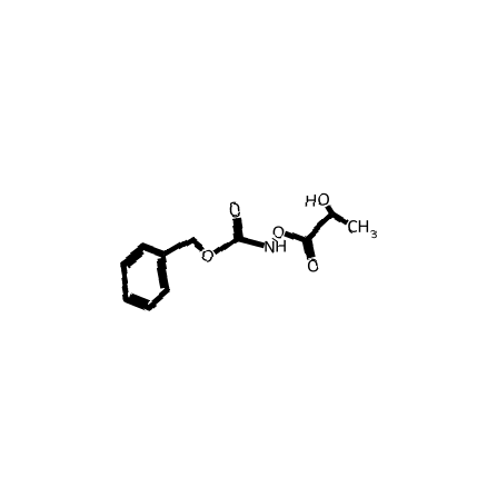 CC(O)C(=O)ONC(=O)OCc1ccccc1